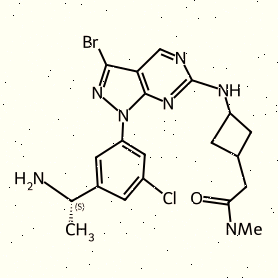 CNC(=O)CC1CC(Nc2ncc3c(Br)nn(-c4cc(Cl)cc([C@H](C)N)c4)c3n2)C1